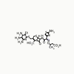 CCN1C(SCC2=C(C(=O)O)N3C(=O)C(NC(=O)/C(=N\OC(C)CC(=O)O)c4csc(N)n4)[C@@H]3SC2)=NC(N)=C(N)C1N